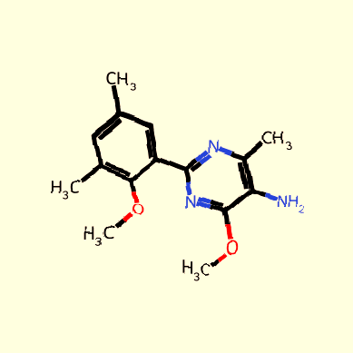 COc1nc(-c2cc(C)cc(C)c2OC)nc(C)c1N